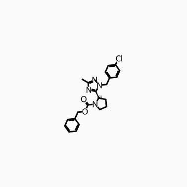 Cc1nc([C@H]2CCCN2C(=O)OCc2ccccc2)n(Cc2ccc(Cl)cc2)n1